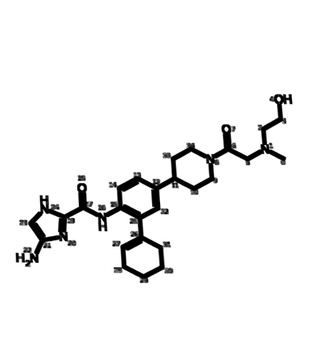 CN(CCO)CC(=O)N1CCC(c2ccc(NC(=O)c3nc(N)c[nH]3)c(C3=CCCCC3)c2)CC1